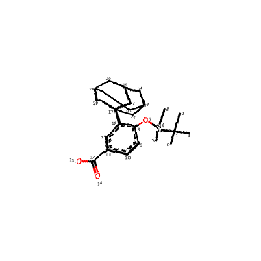 CC(C)(C)[Si](C)(C)Oc1ccc(C([O])=O)cc1C12CC3CC(CC(C3)C1)C2